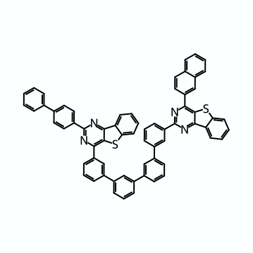 c1ccc(-c2ccc(-c3nc(-c4cccc(-c5cccc(-c6cccc(-c7cccc(-c8nc(-c9ccc%10ccccc%10c9)c9sc%10ccccc%10c9n8)c7)c6)c5)c4)c4sc5ccccc5c4n3)cc2)cc1